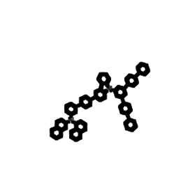 c1ccc(-c2ccc(-c3cc(-c4ccc(-c5ccccc5)cc4)cc(-n4c5ccccc5c5cc(-c6ccc(-c7cccc(N(c8ccc9ccccc9c8)c8cccc9ccccc89)c7)cc6)ccc54)c3)cc2)cc1